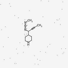 CC#CC(N=[N+]=NC)C1CCNCC1